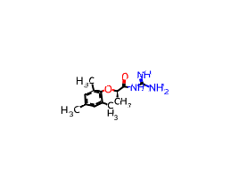 Cc1cc(C)c(O[C@H](C)C(=O)NC(=N)N)c(C)c1